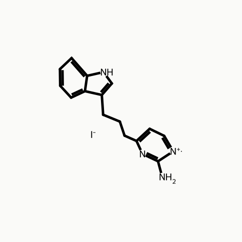 NC1=NC(CCCc2c[nH]c3ccccc23)=CC=[N+]1.[I-]